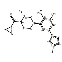 C[C@@H]1CN(c2nc(-c3cnn(C)c3)nc(Cl)c2C#N)CCN1C(=O)C1CC1